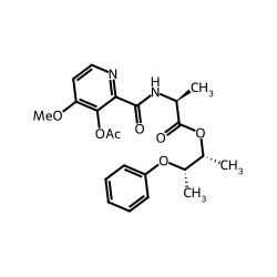 COc1ccnc(C(=O)N[C@@H](C)C(=O)O[C@H](C)[C@H](C)Oc2ccccc2)c1OC(C)=O